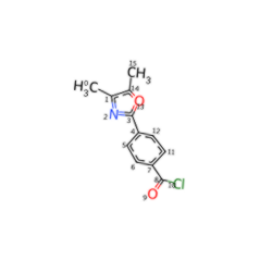 Cc1nc(-c2ccc(C(=O)Cl)cc2)oc1C